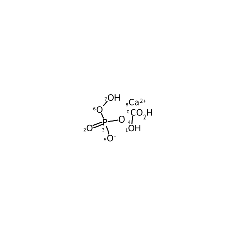 O=C(O)O.O=P([O-])([O-])OO.[Ca+2]